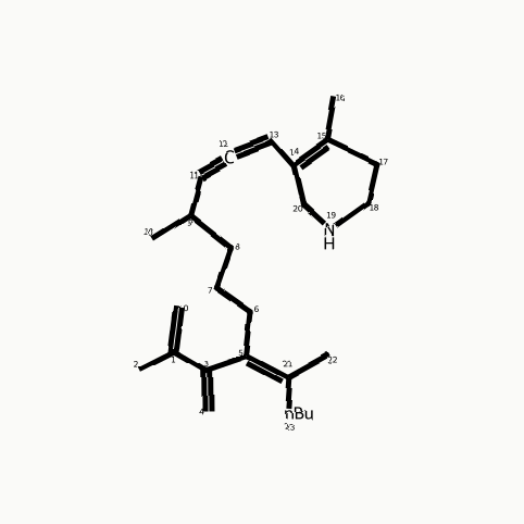 C=C(C)C(=C)/C(CCCC(C)C=C=CC1=C(C)CCNC1)=C(/C)CCCC